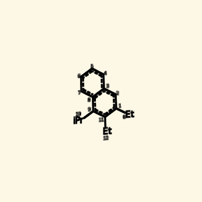 CCc1cc2ccccc2c(C(C)C)c1CC